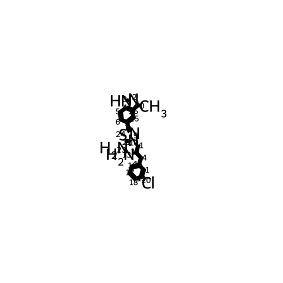 Cc1n[nH]c2ccc(C3=NN(C[C@H](N)Cc4cccc(Cl)c4)C(N)S3)cc12